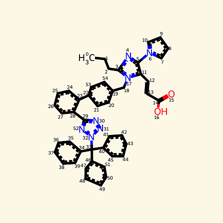 CCCc1nc(-n2cccc2)c(C=CC(=O)O)n1Cc1ccc(-c2ccccc2-c2nnn(C(c3ccccc3)(c3ccccc3)c3ccccc3)n2)cc1